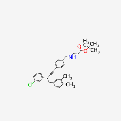 Cc1ccc(CC(C#Cc2ccc(CNCCC(=O)OC(C)(C)C)cc2)c2cccc(Cl)c2)cc1C